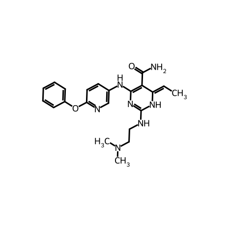 CC=C1NC(NCCN(C)C)=NC(Nc2ccc(Oc3ccccc3)nc2)=C1C(N)=O